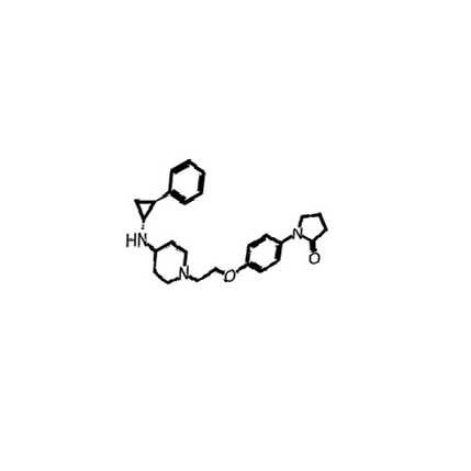 O=C1CCCN1c1ccc(OCCN2CCC(N[C@@H]3C[C@H]3c3ccccc3)CC2)cc1